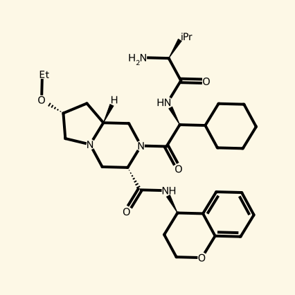 CCO[C@@H]1C[C@@H]2CN(C(=O)[C@@H](NC(=O)[C@@H](N)C(C)C)C3CCCCC3)[C@H](C(=O)N[C@@H]3CCOc4ccccc43)CN2C1